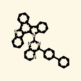 c1ccc(-c2ccc(-c3nc(-n4c5ccccc5c5c6ccccc6c6sc7ccccc7c6c54)nc4cccnc34)cc2)cc1